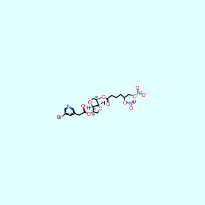 O=C(CCCC(CO[N+](=O)[O-])O[N+](=O)[O-])O[C@@H]1CO[C@H]2[C@@H]1OC[C@H]2OC(=O)Cc1cncc(Br)c1